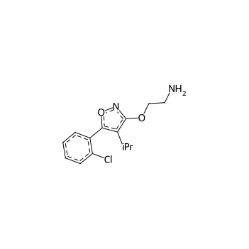 CC(C)c1c(OCCN)noc1-c1ccccc1Cl